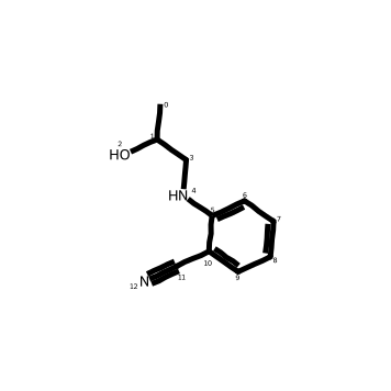 CC(O)CNc1ccccc1C#N